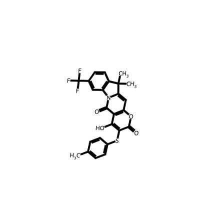 Cc1ccc(Sc2c(O)c3c(=O)n4c(cc3oc2=O)C(C)(C)c2ccc(C(F)(F)F)cc2-4)cc1